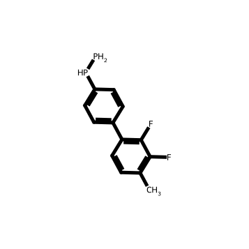 Cc1ccc(-c2ccc(PP)cc2)c(F)c1F